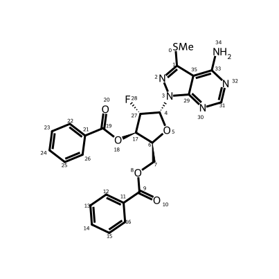 CSc1nn([C@@H]2O[C@@H](COC(=O)c3ccccc3)[C@@H](OC(=O)c3ccccc3)[C@@H]2F)c2ncnc(N)c12